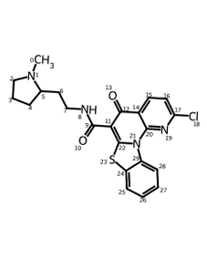 CN1CCCC1CCNC(=O)c1c(=O)c2ccc(Cl)nc2n2c1sc1ccccc12